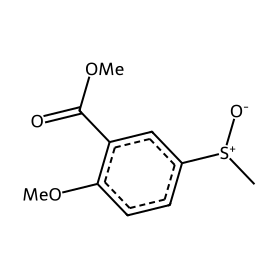 COC(=O)c1cc([S+](C)[O-])ccc1OC